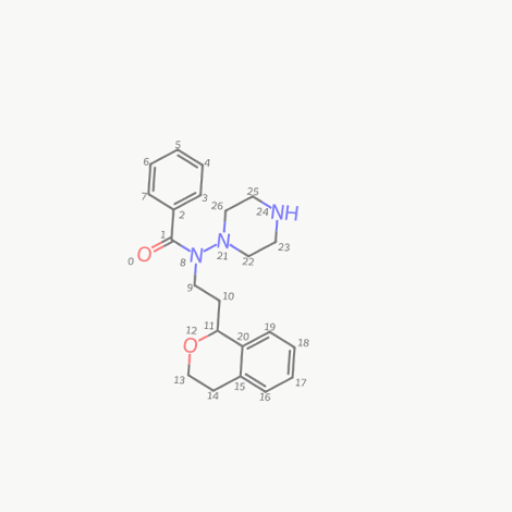 O=C(c1ccccc1)N(CCC1OCCc2ccccc21)N1CCNCC1